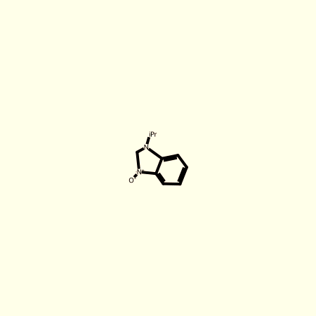 CC(C)N1C[N+]([O-])c2ccccc21